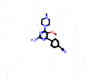 COc1c(-c2ccc(C#N)cc2)nc(N)nc1N1CCN(C)CC1